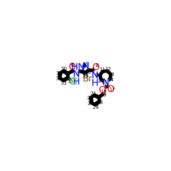 O=C(Nc1[nH]nc(C(=O)N[C@@H]2CCCCN(C(=O)OCc3ccccc3)C2)c1Br)c1ccccc1Cl